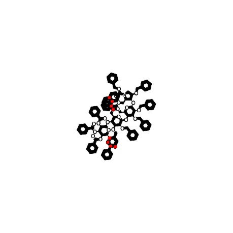 O=C(OC[C@H]1O[C@@H](O[C@H]2[C@H](OCc3ccccc3)[C@@H](OCc3ccccc3)[C@H](O[C@@H]3[C@H](OCc4ccccc4)[C@@H](OCc4ccccc4)[C@@H](O[C@@H]4[C@@H](COCc5ccccc5)N(C(=O)OCc5ccccc5)C[C@H]4OCc4ccccc4)O[C@@H]3COCc3ccccc3)O[C@@H]2COCc2ccccc2)[C@H](OC(=O)c2ccccc2)[C@@H](OC(=O)c2ccccc2)[C@@H]1OC(=O)c1ccccc1)c1ccccc1